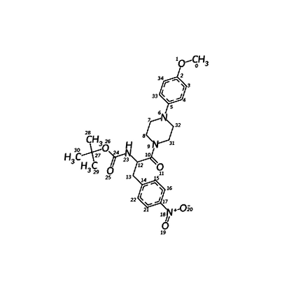 COc1ccc(N2CCN(C(=O)C(Cc3ccc([N+](=O)[O-])cc3)NC(=O)OC(C)(C)C)CC2)cc1